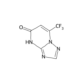 O=c1cc(C(F)(F)F)n2ncnc2[nH]1